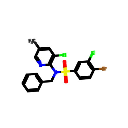 O=S(=O)(c1ccc(Br)c(Cl)c1)N(Cc1ccccc1)c1ncc(C(F)(F)F)cc1Cl